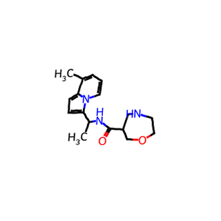 Cc1cccn2c(C(C)NC(=O)C3CNCCOC3)ccc12